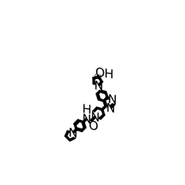 O=C(Nc1ccc(N2CCCC2)cc1)N1CCC(c2ncnc3cc(N4CC[C@H](O)C4)ccc23)CC1